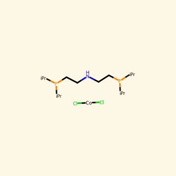 CC(C)P(CCNCCP(C(C)C)C(C)C)C(C)C.[Cl][Co][Cl]